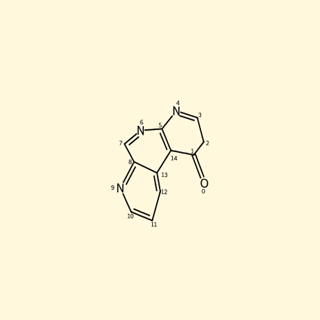 O=C1CC=Nc2ncc3ncccc3c21